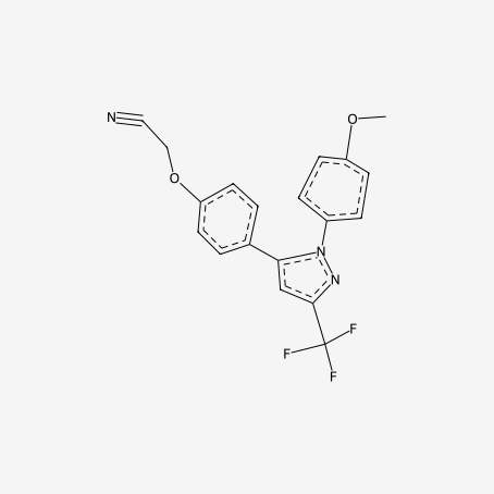 COc1ccc(-n2nc(C(F)(F)F)cc2-c2ccc(OCC#N)cc2)cc1